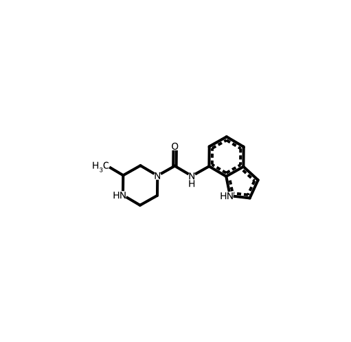 CC1CN(C(=O)Nc2cccc3cc[nH]c23)CCN1